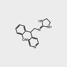 COc1ccccc1C(CN=C1NCCN1)c1ccncc1